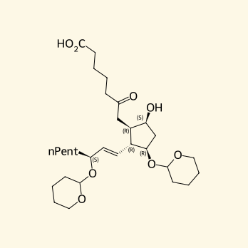 CCCCC[C@@H](C=C[C@@H]1[C@@H](CC(=O)CCCCC(=O)O)[C@@H](O)C[C@H]1OC1CCCCO1)OC1CCCCO1